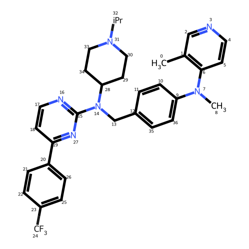 Cc1cnccc1N(C)c1ccc(CN(c2nccc(-c3ccc(C(F)(F)F)cc3)n2)C2CCN(C(C)C)CC2)cc1